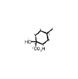 CC1CCC(O)(C(=O)O)CC1